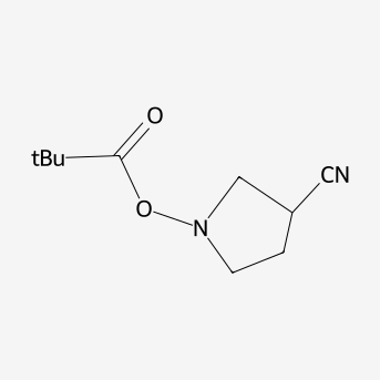 CC(C)(C)C(=O)ON1CCC(C#N)C1